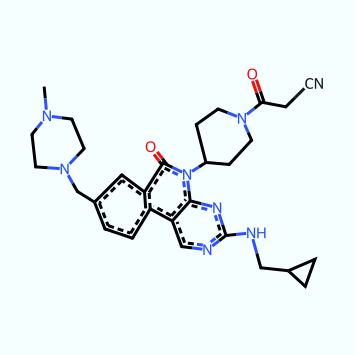 CN1CCN(Cc2ccc3c(c2)c(=O)n(C2CCN(C(=O)CC#N)CC2)c2nc(NCC4CC4)ncc32)CC1